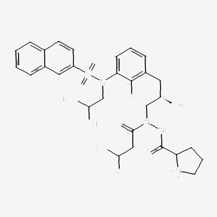 CC(C)CC(=O)N(C[C@H](C)Cc1cccc(N(CC(C)C)S(=O)(=O)c2ccc3ccccc3c2)c1O)NC(=O)C1CCCN1